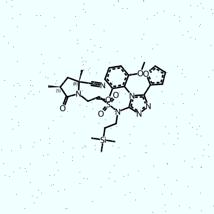 COc1cccc(OC)c1-n1c(-c2ccco2)nnc1N(CC[Si](C)(C)C)S(=O)(=O)CCN1C(=O)[C@@H](C)C[C@]1(C)C#N